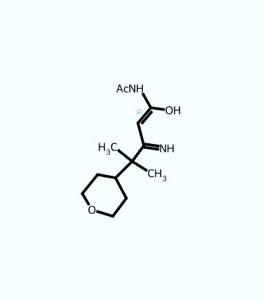 CC(=O)N/C(O)=C/C(=N)C(C)(C)C1CCOCC1